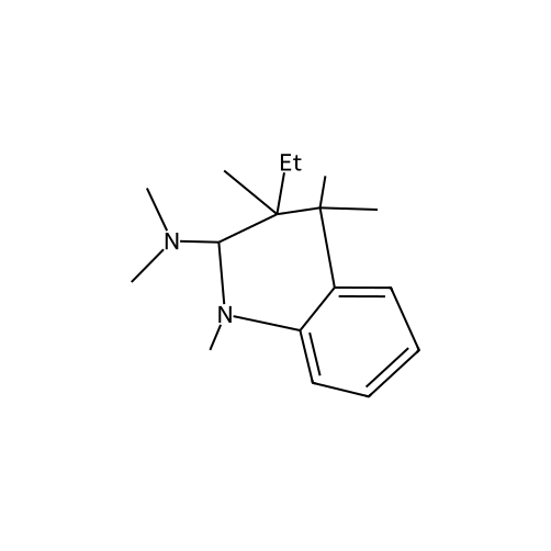 CCC1(C)C(N(C)C)N(C)c2ccccc2C1(C)C